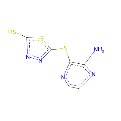 Nc1nccnc1Sc1nnc(S)s1